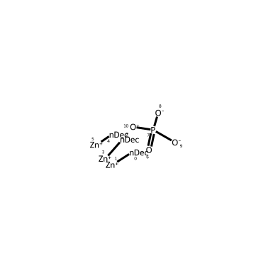 CCCCCCCCC[CH2][Zn+].CCCCCCCCC[CH2][Zn+].CCCCCCCCC[CH2][Zn+].O=P([O-])([O-])[O-]